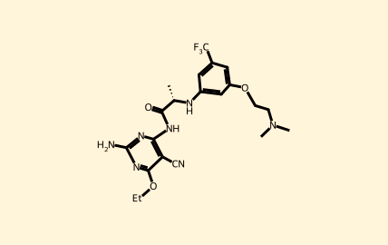 CCOc1nc(N)nc(NC(=O)[C@H](C)Nc2cc(OCCN(C)C)cc(C(F)(F)F)c2)c1C#N